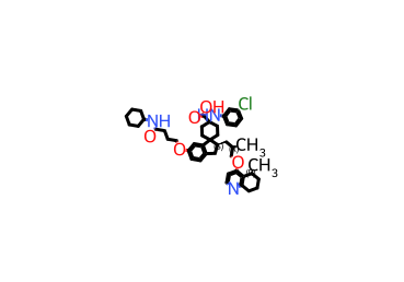 C[C@@H](COc1ccnc2c1[C@H](C)CCC2)C[C@H]1Cc2ccc(OCCCC(=O)NC3CCCCC3)cc2C12CCC(Nc1cccc(Cl)c1)(C(=O)O)CC2